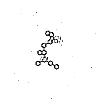 CC1(C)c2ccc(-c3cccc(-c4ccc(-c5nc(-c6ccccc6)cc(-c6ccc(-c7ccccc7)cc6)n5)c5ccccc45)c3)cc2-c2c1ccc1ccccc21